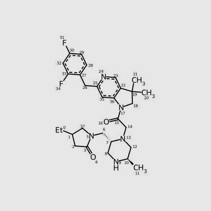 CCC1CC(=O)N(C[C@H]2CN[C@H](C)CN2CC(=O)N2CC(C)(C)c3cnc(Cc4ccc(F)cc4F)cc32)C1